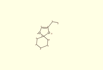 CCC1=COC2(CCCCC2)O1